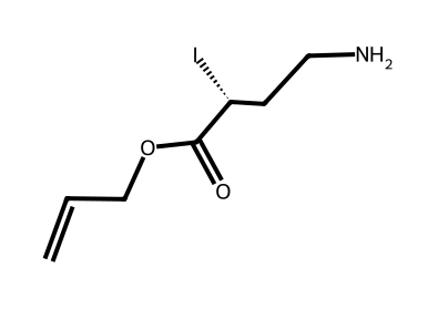 C=CCOC(=O)[C@H](I)CCN